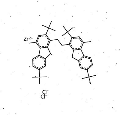 Cc1cc(C(C)(C)C)c(CCc2c(C(C)(C)C)cc(C)c3c2Cc2cc(C(C)(C)C)ccc2-3)c2c1-c1ccc(C(C)(C)C)cc1C2.[Cl-].[Cl-].[Zr+2]